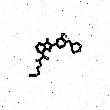 COCCCNC(=O)c1ccnc2[nH]c(-c3ccc(CN4CCOCC4)c(C(F)(F)F)c3)nc12